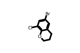 Clc1cc(Br)cc2c1OCCC2